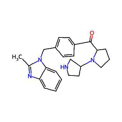 Cc1nc2ccccc2n1Cc1ccc(C(=O)C2CCCN2C2CCNC2)cc1